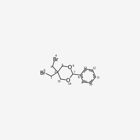 BrCC1(CBr)COC(c2ccccc2)OC1